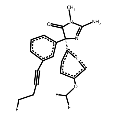 CN1C(=O)[C@](c2ccc(OC(F)F)cc2)(c2cccc(C#CCCF)c2)N=C1N